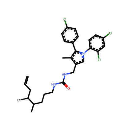 C=CCC(CC)C(C)CCCNC(=O)NCc1cn(-c2ccc(Cl)cc2Cl)c(-c2ccc(Cl)cc2)c1C